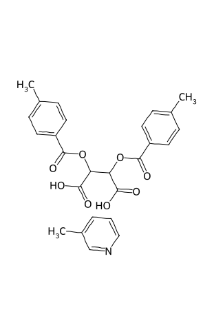 Cc1ccc(C(=O)OC(C(=O)O)C(OC(=O)c2ccc(C)cc2)C(=O)O)cc1.Cc1cccnc1